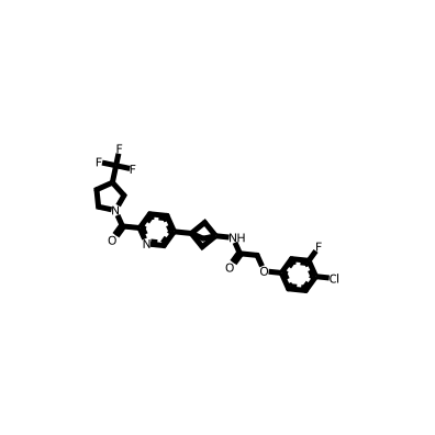 O=C(COc1ccc(Cl)c(F)c1)NC12CC(c3ccc(C(=O)N4CCC(C(F)(F)F)C4)nc3)(C1)C2